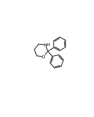 c1ccc(C2(c3ccccc3)NCCCO2)cc1